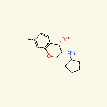 Cc1ccc2c(c1)OC[C@@H](NC1CCCC1)[C@H]2O